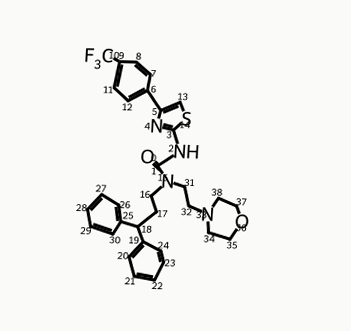 O=C(Nc1nc(-c2ccc(C(F)(F)F)cc2)cs1)N(CCC(c1ccccc1)c1ccccc1)CCN1CCOCC1